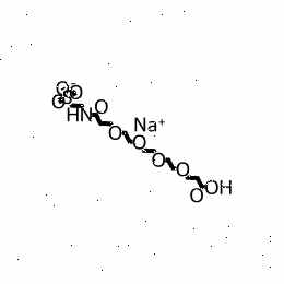 O=C(O)CCOCCOCCOCCOCCC(=O)NCCS(=O)(=O)[O-].[Na+]